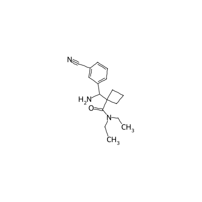 CCN(CC)C(=O)C1(C(N)c2cccc(C#N)c2)CCC1